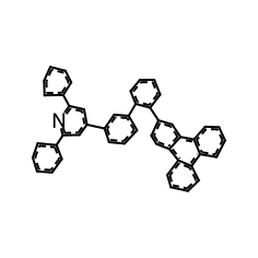 c1ccc(-c2cc(-c3cccc(-c4ccccc4-c4ccc5c6ccccc6c6ccccc6c5c4)c3)cc(-c3ccccc3)n2)cc1